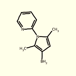 Bc1cc(C)n(-c2ccccn2)c1C